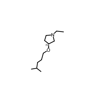 CCN1CC[C@H](OCCCC(C)C)C1